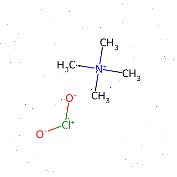 C[N+](C)(C)C.[O-][Cl+][O-]